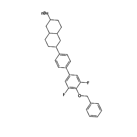 CCCCC1CCC2CC(c3ccc(-c4cc(F)c(OCc5ccccc5)c(F)c4)cc3)CCC2C1